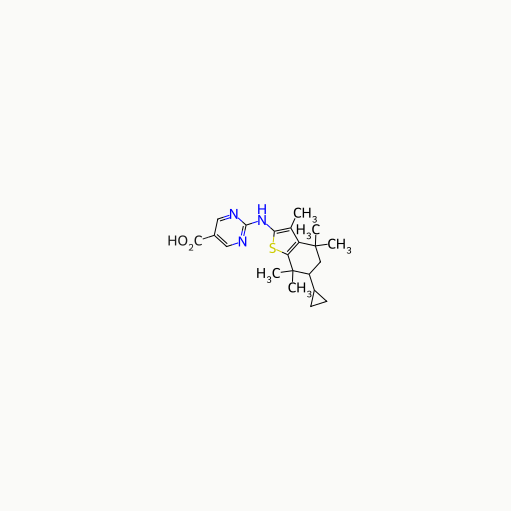 Cc1c(Nc2ncc(C(=O)O)cn2)sc2c1C(C)(C)CC(C1CC1)C2(C)C